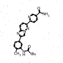 Cc1ccc(-c2cn3nc(-c4ccc(C(N)=O)cn4)ccc3n2)cc1NC(=O)C(C)(C)C